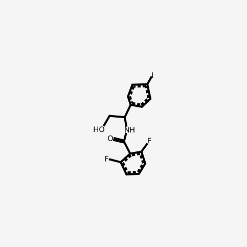 O=C(NC(CO)c1ccc(I)cc1)c1c(F)cccc1F